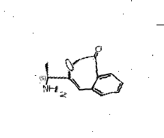 C[C@H](N)c1cc2ccccc2c(=O)o1